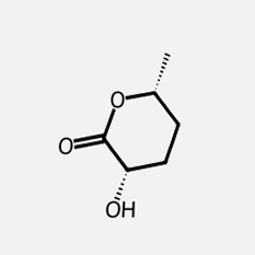 C[C@@H]1CC[C@H](O)C(=O)O1